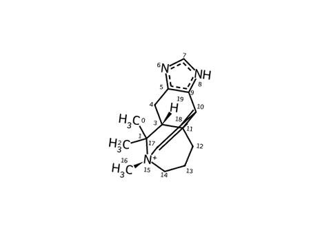 CC1(C)[C@@H]2Cc3nc[nH]c3C3=C2CCC[N@@+]1(C)C=C3